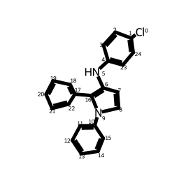 Clc1ccc(Nc2ccn(-c3ccccc3)c2-c2ccccc2)cc1